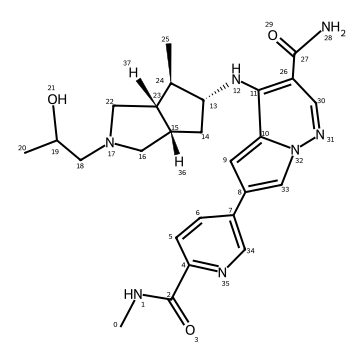 CNC(=O)c1ccc(-c2cc3c(N[C@@H]4C[C@@H]5CN(CC(C)O)C[C@@H]5[C@H]4C)c(C(N)=O)cnn3c2)cn1